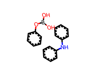 OB(O)Oc1ccccc1.c1ccc(Nc2ccccc2)cc1